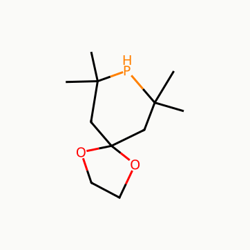 CC1(C)CC2(CC(C)(C)P1)OCCO2